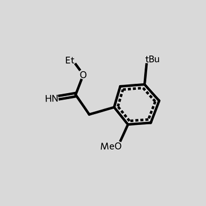 CCOC(=N)Cc1cc(C(C)(C)C)ccc1OC